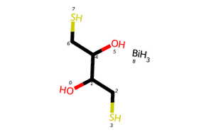 OC(CS)C(O)CS.[BiH3]